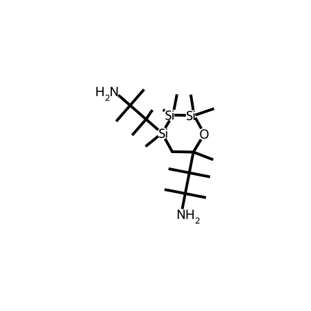 CC(C)(N)C(C)(C)C1(C)C[Si](C)(C(C)(C)C(C)(C)N)[Si](C)(C)[Si](C)(C)O1